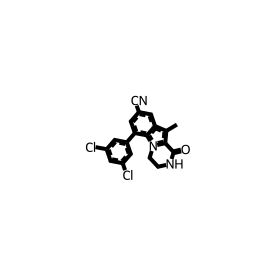 Cc1c2n(c3c(-c4cc(Cl)cc(Cl)c4)cc(C#N)cc13)CCNC2=O